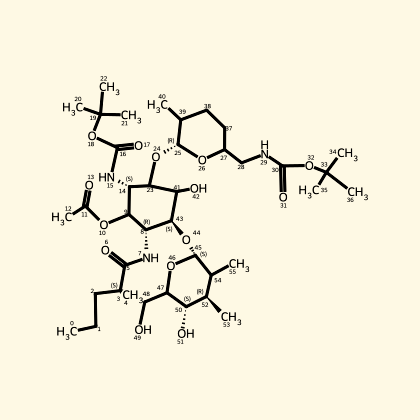 CCC[C@H](C)C(=O)N[C@@H]1C(OC(C)=O)[C@H](NC(=O)OC(C)(C)C)C(O[C@H]2OC(CNC(=O)OC(C)(C)C)CCC2C)C(O)[C@H]1O[C@H]1OC(CO)[C@@H](O)[C@H](C)C1C